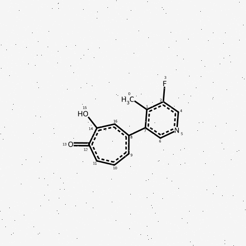 Cc1c(F)cncc1-c1cccc(=O)c(O)c1